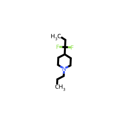 CCCN1CCC(C(F)(F)CC)CC1